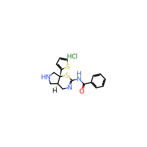 Cl.O=C(NC1=NC[C@H]2CNC[C@]2(c2cccs2)S1)c1ccccc1